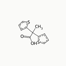 CC(C(=O)O)(c1cccs1)c1cccs1